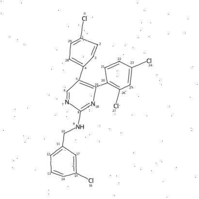 Clc1ccc(-c2cnc(NCc3cccc(Cl)c3)nc2-c2ccc(Cl)cc2Cl)cc1